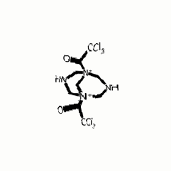 O=C(C(Cl)(Cl)Cl)[N+]12CNC[N+](C(=O)C(Cl)(Cl)Cl)(CNC1)C2